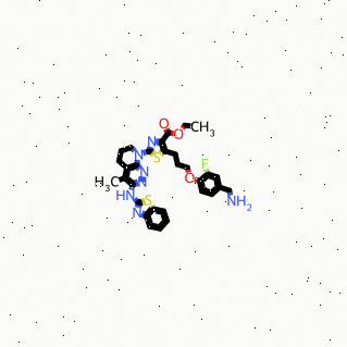 CCOC(=O)c1nc(N2CCCc3c2nnc(Nc2nc4ccccc4s2)c3C)sc1CCCOc1ccc(CN)cc1F